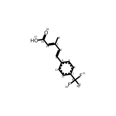 CC(C=Cc1ccc(C(F)(F)F)cc1)=CC(=O)O